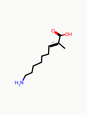 C/C(=C\CCCCCCN)C(=O)O